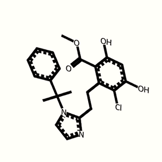 COC(=O)c1c(O)cc(O)c(Cl)c1CCc1nccn1C(C)(C)c1ccccc1